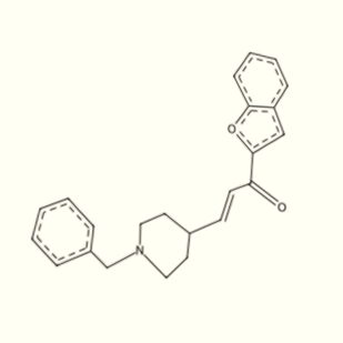 O=C(/C=C/C1CCN(Cc2ccccc2)CC1)c1cc2ccccc2o1